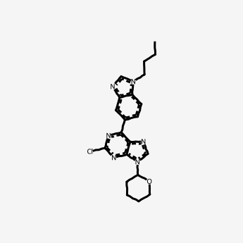 CCCCn1cnc2cc(-c3nc(Cl)nc4c3ncn4C3CCCCO3)ccc21